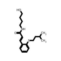 CC(C)CCSc1ccccc1C=CC(=O)NCCCCO